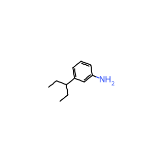 CCC(CC)c1cccc(N)c1